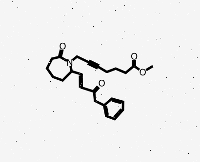 COC(=O)CCCC#CCN1C(=O)CCCCC1C=CC(=O)Cc1ccccc1